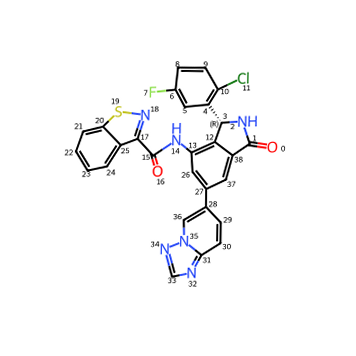 O=C1N[C@@H](c2cc(F)ccc2Cl)c2c(NC(=O)c3nsc4ccccc34)cc(-c3ccc4ncnn4c3)cc21